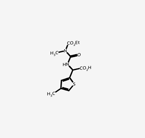 CCOC(=O)N(C)C(=O)NC(C(=O)O)c1cc(C)cs1